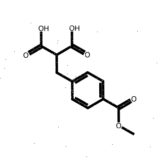 COC(=O)c1ccc(CC(C(=O)O)C(=O)O)cc1